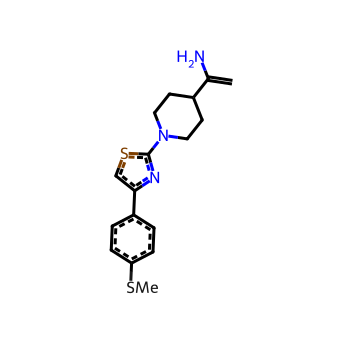 C=C(N)C1CCN(c2nc(-c3ccc(SC)cc3)cs2)CC1